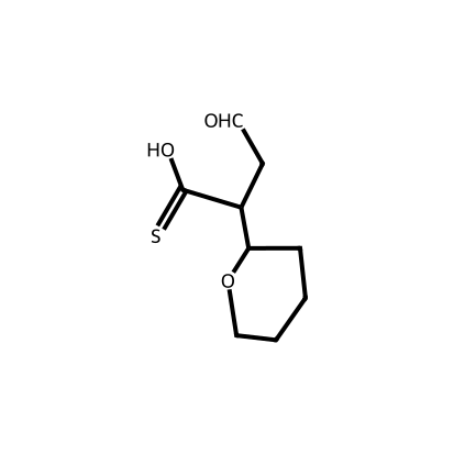 O=CCC(C(O)=S)C1CCCCO1